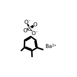 Cc1cccc(C)c1C.O=S(=O)([O-])[O-].[Ba+2]